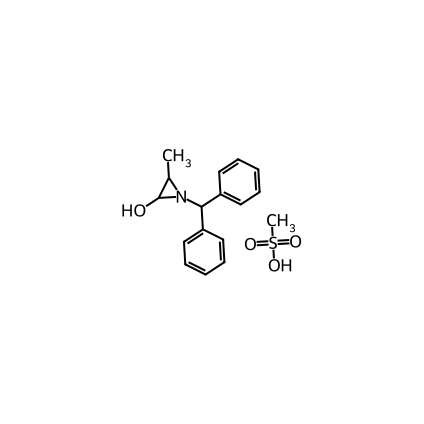 CC1C(O)N1C(c1ccccc1)c1ccccc1.CS(=O)(=O)O